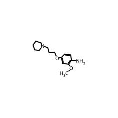 COc1cc(OCCCN2CCCCC2)ccc1N